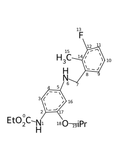 CCOC(=O)Nc1ccc(NCc2cccc(F)c2C)cc1OC(C)C